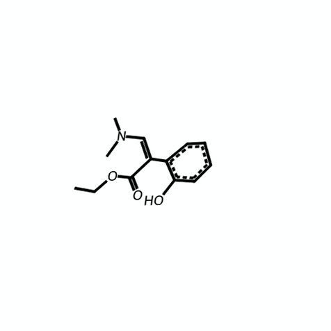 CCOC(=O)C(=CN(C)C)c1ccccc1O